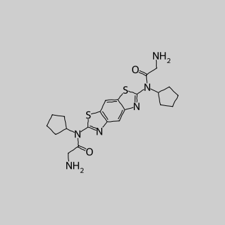 NCC(=O)N(c1nc2cc3nc(N(C(=O)CN)C4CCCC4)sc3cc2s1)C1CCCC1